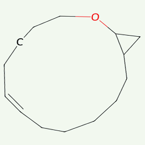 C1=CCCCCOC2CC2CCCCC1